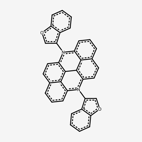 c1ccc2c(-n3c4ccc5cccc6c5c4-c4c5c(cccc53)ccc4n6-c3coc4ccccc34)coc2c1